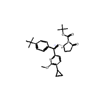 COc1nc(/C(=C\[C@H]2CCC(=O)N2C(=O)OC(C)(C)C)c2ccc(C(C)(C)C)cc2)ccc1C1CC1